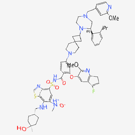 COc1cc(CN2CCN(C3CC4(CCN(c5ccc(C(=O)NS(=O)(=O)c6cc([NH+](C)[O-])c(NC[C@H]7CC[C@](C)(O)CC7)c7scnc67)c(Oc6cc7c(nc6OC)CC=C7F)c5)CC4)C3)[C@H](c3ccccc3C(C)C)C2)ccn1